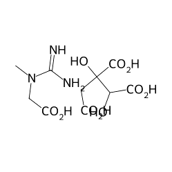 CN(CC(=O)O)C(=N)N.O=C(O)CC(O)(C(=O)O)C(O)C(=O)O